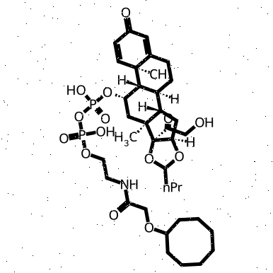 CCCC1O[C@@H]2C[C@H]3[C@@H]4CCC5=CC(=O)C=C[C@]5(C)[C@H]4[C@@H](OP(=O)(O)OP(=O)(O)OCCNC(=O)COC4CCCCCCC4)C[C@]3(C)[C@]2(C(=O)CO)O1